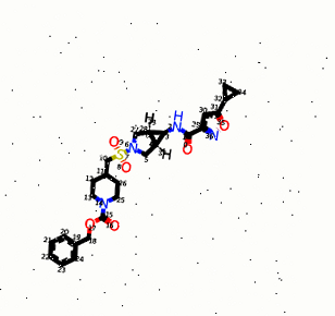 O=C(NC1[C@H]2CN(S(=O)(=O)CC3CCN(C(=O)OCc4ccccc4)CC3)C[C@@H]12)c1cc(C2CC2)on1